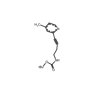 Cc1ccnc(C#CCCNC(=O)OC(C)(C)C)c1